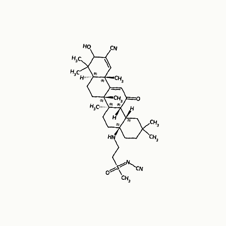 CC1(C)CC[C@]2(NCCS(C)(=O)=NC#N)CC[C@]3(C)[C@H](C(=O)C=C4[C@@]5(C)C=C(C#N)C(O)C(C)(C)[C@@H]5CC[C@]43C)[C@@H]2C1